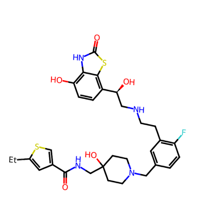 CCc1cc(C(=O)NCC2(O)CCN(Cc3ccc(F)c(CCNC[C@H](O)c4ccc(O)c5[nH]c(=O)sc45)c3)CC2)cs1